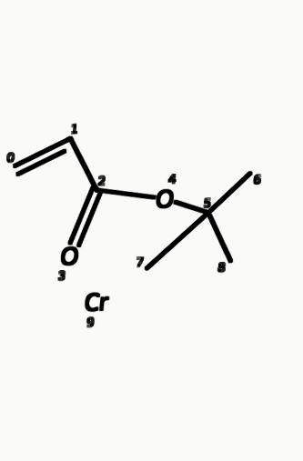 C=CC(=O)OC(C)(C)C.[Cr]